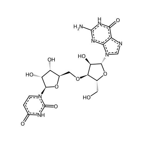 Nc1nc2c(ncn2[C@@H]2O[C@H](CO)[C@@H](OC[C@H]3O[C@@H](n4ccc(=O)[nH]c4=O)[C@H](O)[C@@H]3O)[C@H]2O)c(=O)[nH]1